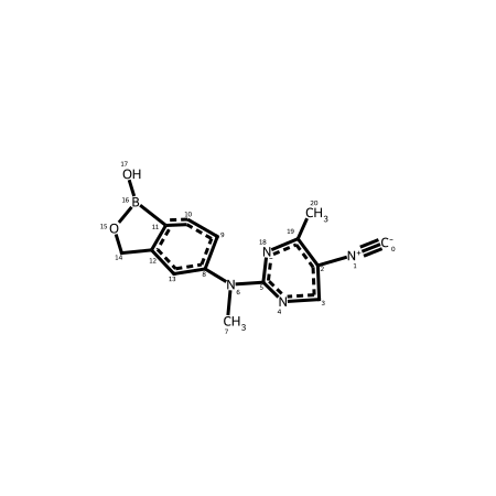 [C-]#[N+]c1cnc(N(C)c2ccc3c(c2)COB3O)nc1C